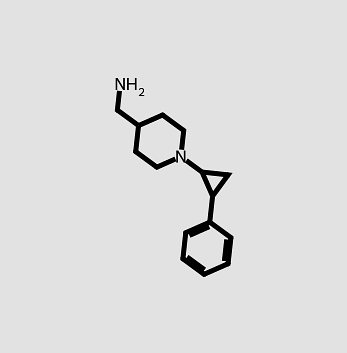 NCC1CCN(C2CC2c2ccccc2)CC1